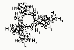 CCC1OC(=O)CC(O)C(C)C(OC2OC(C)C(OC3CC(C)(O)C(OC(C)=O)C(C)O3)C(N(C)C)C2O)C(CC=O)CC(C)C(=O)C=CC(C)=CC1COC1OC(C)C(OC(=O)CC(C)C)C(OC)C1OC.O=C(O)C(O)C(O)C(=O)O